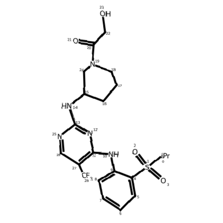 CC(C)S(=O)(=O)c1ccccc1Nc1nc(NC2CCCN(C(=O)CO)C2)ncc1C(F)(F)F